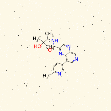 Cc1ccc(-c2cncc3ncc(C(=O)NC(C)C(C)(C)O)nc23)cn1